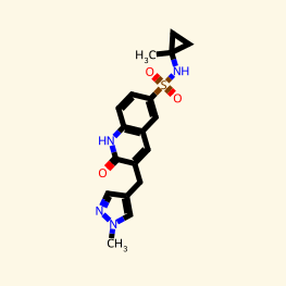 Cn1cc(Cc2cc3cc(S(=O)(=O)NC4(C)CC4)ccc3[nH]c2=O)cn1